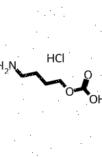 Cl.NCCCCOC(=O)O